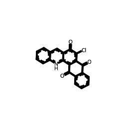 O=C1c2ccccc2C(=O)c2c1c1[nH]c3ccccc3cc-1c(=O)c2Cl